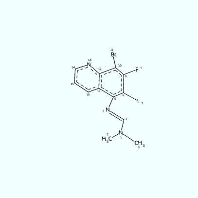 CN(C)C=Nc1c(I)c(F)c(Br)c2ncccc12